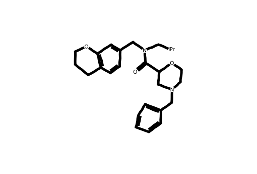 CC(C)CN(Cc1ccc2c(c1)OCCC2)C(=O)C1CN(Cc2ccccc2)CCO1